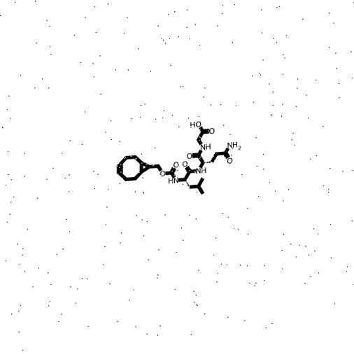 CC(C)C[C@H](NC(=O)OCC1C2CCC#CCCC21)C(=O)N[C@@H](CCC(N)=O)C(=O)NCC(=O)O